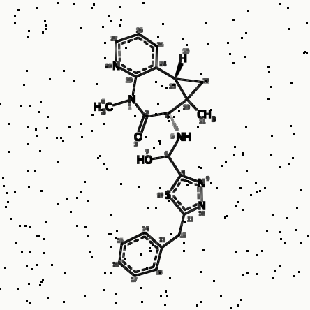 CN1C(=O)[C@@H](NC(O)c2nnc(Cc3ccccc3)s2)C2(C)C[C@H]2c2cccnc21